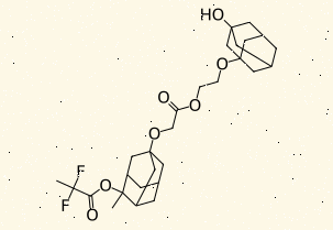 CC(F)(F)C(=O)OC1(C)C2CC3CC1CC(OCC(=O)OCCOC14CC5CC(CC(O)(C5)C1)C4)(C3)C2